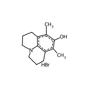 Br.Cc1c(O)c(C)c2c3c1CCCN3CCC2